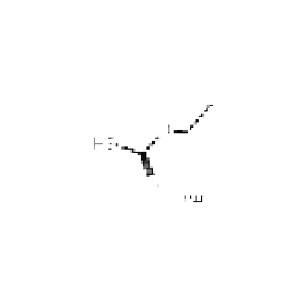 CCOC(=S)S.[Au]